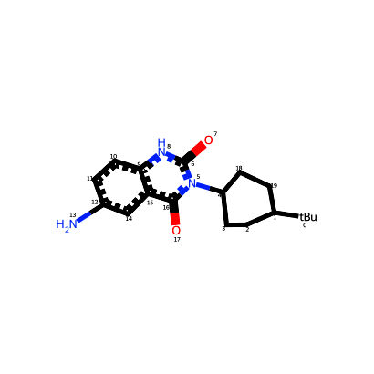 CC(C)(C)C1CCC(n2c(=O)[nH]c3ccc(N)cc3c2=O)CC1